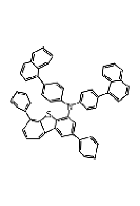 c1ccc(-c2cc(N(c3ccc(-c4cccc5ccccc45)cc3)c3ccc(-c4cccc5ccccc45)cc3)c3sc4c(-c5ccccc5)cccc4c3c2)cc1